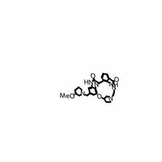 CO[C@@H]1CCCN(Cc2cc3c4nc(c(=O)[nH]c4c2)-c2cccc4c(=O)n([nH]c24)CCN2CCC(C2)O3)C1